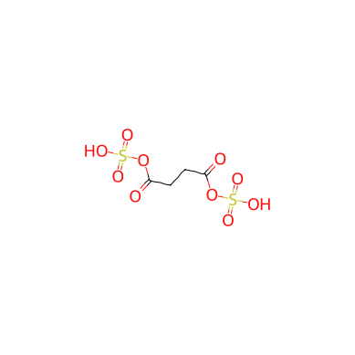 O=C(CCC(=O)OS(=O)(=O)O)OS(=O)(=O)O